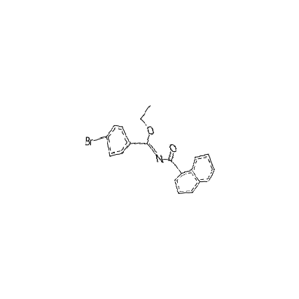 CCOC(=NC(=O)c1cccc2ccccc12)c1ccc(Br)cc1